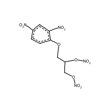 O=[N+]([O-])OCC(COc1ccc([N+](=O)[O-])cc1[N+](=O)[O-])O[N+](=O)[O-]